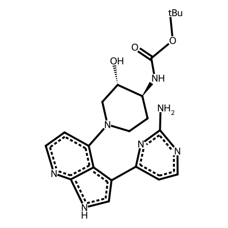 CC(C)(C)OC(=O)N[C@H]1CCN(c2ccnc3[nH]cc(-c4ccnc(N)n4)c23)C[C@@H]1O